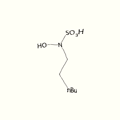 CCCCCCN(O)S(=O)(=O)O